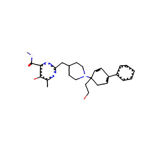 CC(=O)ONC(=O)c1nc(CC2CCN(C3(CCO)C=CC(c4ccccc4)=CC3)CC2)nc(C)c1O